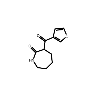 O=C1NCCCCC1C(=O)c1ccoc1